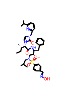 CC[C@H](C)[C@@H](C(=O)N[C@@H](Cc1ccccc1)[C@H](O)CN(CC(C)C)S(=O)(=O)c1ccc(/C=N/O)cc1)n1ccn(Cc2cccc(C(C)C)n2)c1=O